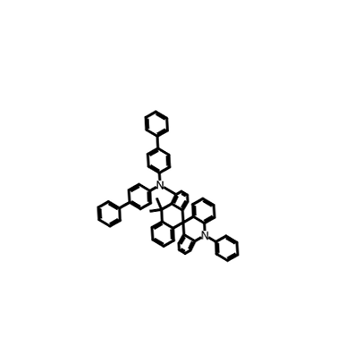 CC1(C)c2ccccc2C2(c3ccccc3N(c3ccccc3)c3ccccc32)c2cccc(N(c3ccc(-c4ccccc4)cc3)c3ccc(-c4ccccc4)cc3)c21